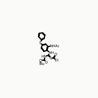 CCC(=O)N=C(NC(=O)OC(C)CC)Nc1ccc(Sc2ccccc2)cc1NC(C)=O